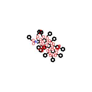 O=C(OC[C@H]1O[C@@H](O[C@H]2[C@H](OC(=O)c3ccccc3)[C@@H](OC(=O)c3ccccc3)[C@H](O[C@@H]3[C@H](OCc4ccccc4)[C@@H](OCc4ccccc4)[C@@H](O[C@H]4[C@@H](OCc5ccccc5)CN(C(=O)OCc5ccccc5)[C@H]4COCc4ccccc4)O[C@@H]3COCc3ccccc3)O[C@@H]2COC(=O)c2ccccc2)[C@H](OC(=O)c2ccccc2)[C@@H](OC(=O)c2ccccc2)[C@@H]1OC(=O)c1ccccc1)c1ccccc1